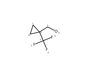 [O]CC1(C(F)(F)F)CC1